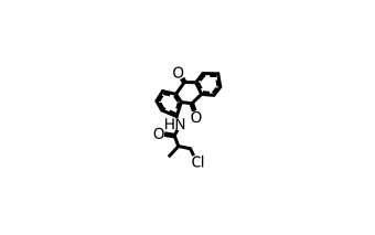 CC(CCl)C(=O)Nc1cccc2c1C(=O)c1ccccc1C2=O